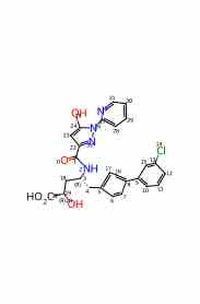 O=C(N[C@H](Cc1ccc(-c2cccc(Cl)c2)cc1)C[C@@H](O)C(=O)O)c1cc(O)n(-c2ccccn2)n1